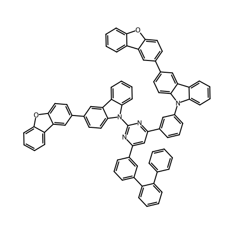 c1ccc(-c2ccccc2-c2cccc(-c3cc(-c4cccc(-n5c6ccccc6c6cc(-c7ccc8oc9ccccc9c8c7)ccc65)c4)nc(-n4c5ccccc5c5cc(-c6ccc7oc8ccccc8c7c6)ccc54)n3)c2)cc1